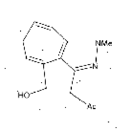 CN/N=C(/CC(C)=O)C1=CC=CCC=C1CO